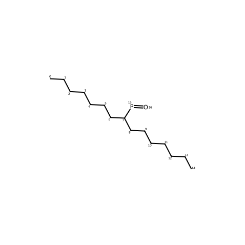 CCCCCCCC(CCCCCCC)P=O